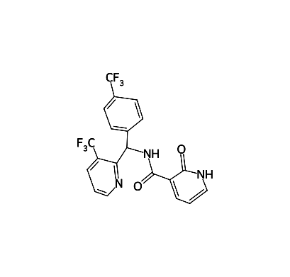 O=C(NC(c1ccc(C(F)(F)F)cc1)c1ncccc1C(F)(F)F)c1ccc[nH]c1=O